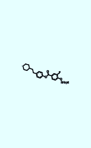 CCCCCCCOc1ccc(C(=O)Oc2ccc(CCC3CC[CH]CC3)cc2)cc1F